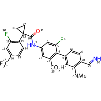 CNc1cc(-c2c(F)cc(NC(=O)C3(c4ccc(C(F)(F)F)cc4F)CC3)cc2C(=O)O)ccc1C=N